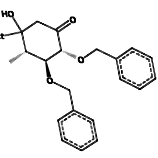 CCC1(O)CC(=O)[C@H](OCc2ccccc2)[C@@H](OCc2ccccc2)[C@@H]1C